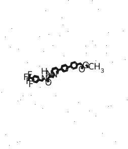 CCOC(=O)CC1CCC(c2ccc(-c3ccc4nc(C(=O)NCc5ccc(C(F)(F)F)c(F)c5)cn4c3)cc2)CC1